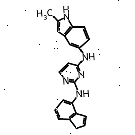 Cc1cc2cc(Nc3ccnc(Nc4cccc5c4C=CC5)n3)ccc2[nH]1